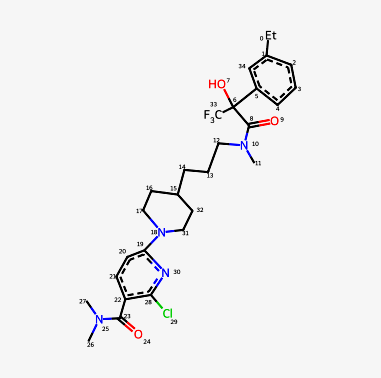 CCc1cccc(C(O)(C(=O)N(C)CCCC2CCN(c3ccc(C(=O)N(C)C)c(Cl)n3)CC2)C(F)(F)F)c1